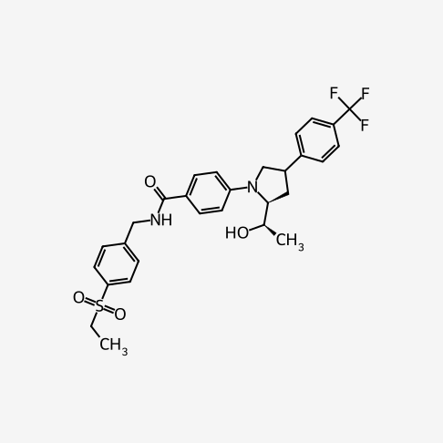 CCS(=O)(=O)c1ccc(CNC(=O)c2ccc(N3CC(c4ccc(C(F)(F)F)cc4)C[C@H]3[C@@H](C)O)cc2)cc1